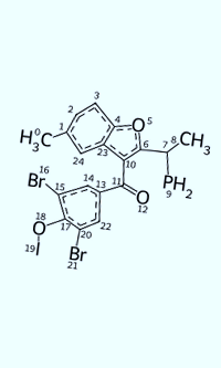 Cc1ccc2oc(C(C)P)c(C(=O)c3cc(Br)c(OI)c(Br)c3)c2c1